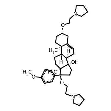 COc1ccc([C@@]2(OCCN3CCCC3)CC[C@]3(O)[C@@H]4CC=C5C[C@@H](OCCN6CCCC6)CC[C@]5(C)[C@H]4CC[C@]23C)cc1